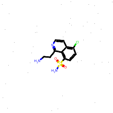 NCCc1nccc2c(Cl)ccc(S(N)(=O)=O)c12